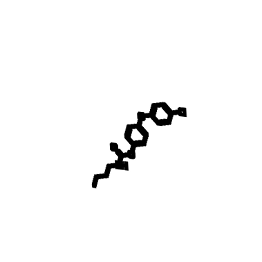 CCCCNC(=O)Oc1ccc(Oc2ccc(Cl)cc2)cc1